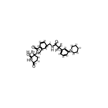 BC1(N2Cc3cc(CNC(=O)C(F)(F)c4cccc(N5CCCCC5)c4)ccc3C2=O)CCC(=O)NC1=O